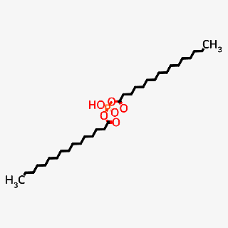 CCCCCCCCCCCCCCCC(=O)OP(=O)(O)OC(=O)CCCCCCCCCCCCCCC